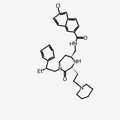 CC[C@H](CN1CC[C@@H](CNC(=O)c2ccc3cc(Cl)ccc3c2)N[C@H](CCN2CCCCC2)C1=O)c1ccccc1